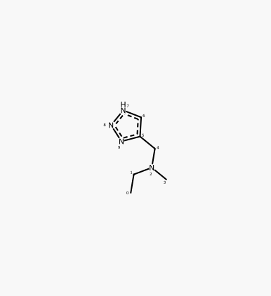 CCN(C)Cc1c[nH]nn1